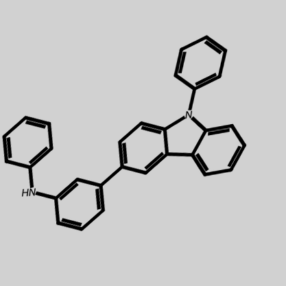 c1ccc(Nc2cccc(-c3ccc4c(c3)c3ccccc3n4-c3ccccc3)c2)cc1